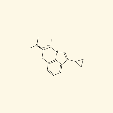 C[C@H]1[C@H](N(C)C)Cc2cccc3c(C4CC4)cn1c23